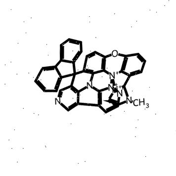 Cn1c2[n+](c3ccccc31)[N+]13c4c(cccc4-2)Oc2ccc4c(c21)-n1c2c(cncc2c2ccn[n+]3c21)C41c2ccccc2-c2ccccc21